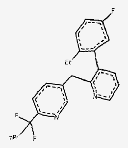 CCCC(F)(F)c1ccc(Cc2ncccc2-c2cc(F)ccc2CC)cn1